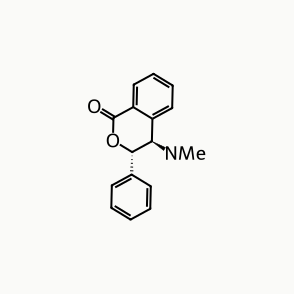 CN[C@@H]1c2ccccc2C(=O)O[C@H]1c1ccccc1